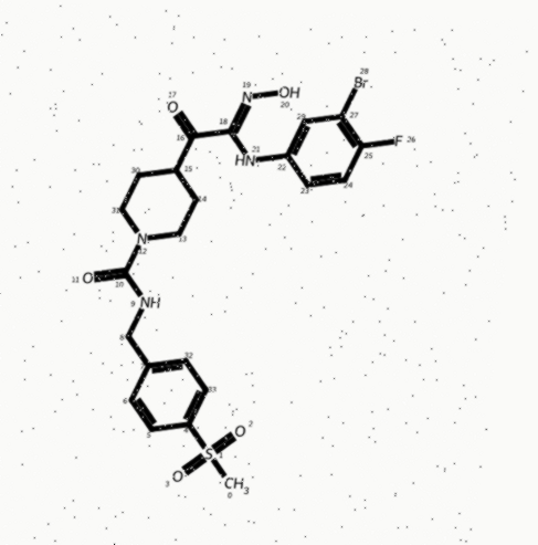 CS(=O)(=O)c1ccc(CNC(=O)N2CCC(C(=O)/C(=N/O)Nc3ccc(F)c(Br)c3)CC2)cc1